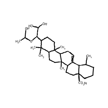 CC(O)OC(C(O)O)C1CCC2(C)C(CCC3(C)C4CCC5(C(=O)O)CCCC(C)C5C4=CCC32)C1(C)C